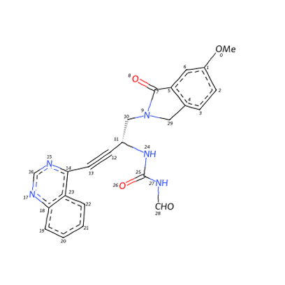 COc1ccc2c(c1)C(=O)N(C[C@@H](C#Cc1ncnc3ccccc13)NC(=O)NC=O)C2